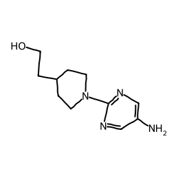 Nc1cnc(N2CCC(CCO)CC2)nc1